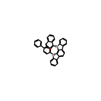 c1ccc(-c2ccc(-n3c4ccccc4c4ccc5c6ccccc6n(-c6cccc7ccccc67)c5c43)cc2)cc1